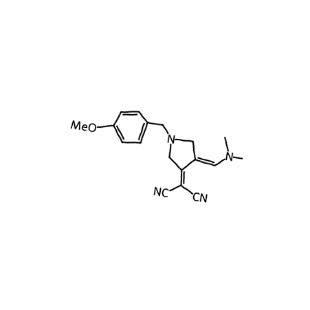 COc1ccc(CN2CC(=CN(C)C)C(=C(C#N)C#N)C2)cc1